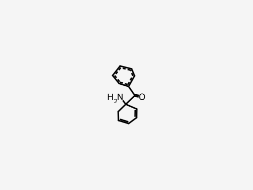 NC1(C(=O)c2ccccc2)C=CC=CC1